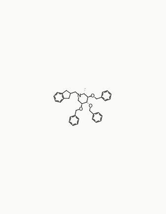 C[C@@H]1[C@@H](OCc2ccccc2)[C@H](OCc2ccccc2)[C@@H](OCc2ccccc2)CN1CC1Cc2ccccc2C1